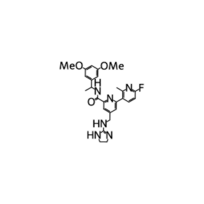 COc1cc(OC)cc(C(C)NC(=O)c2cc(CNC3=NCCN3)cc(-c3ccc(F)nc3C)n2)c1